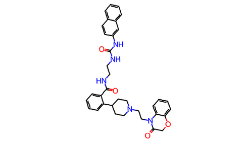 O=C(NCCNC(=O)c1ccccc1C1CCN(CCN2C(=O)COc3ccccc32)CC1)Nc1ccc2ccccc2c1